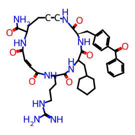 N=C(N)NCCCC1NC(=O)C=CC(=O)NC(C(N)=O)CCCCNC(=O)[C@@H](Cc2ccc(C(=O)c3ccccc3)cc2)NC(=O)C(CC2CCCCC2)NC1=O